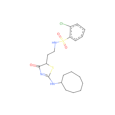 O=C1N=C(NC2CCCCCCC2)SC1CCNS(=O)(=O)c1ccccc1Cl